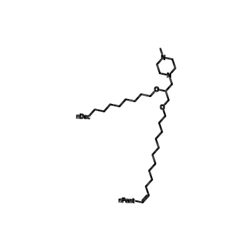 CCCCC/C=C\CCCCCCCCCCOCC(CN1CCN(C)CC1)OCCCCCCCCCCCCCCCCCC